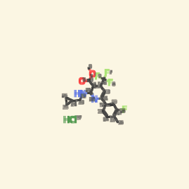 COC(=O)c1c(C(F)(F)F)cc(-c2ccc(C)c(F)c2)nc1NCC1CC1.Cl